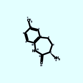 N[C@H]1CCc2cc(C(F)(F)F)ccc2NC1=O